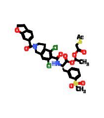 CC(=O)SCC(=O)OC(C)OC(=O)[C@H](Cc1cccc(S(C)(=O)=O)c1)NC(=O)c1c(Cl)cc2c(c1Cl)CCN(C(=O)c1ccc3ccoc3c1)C2